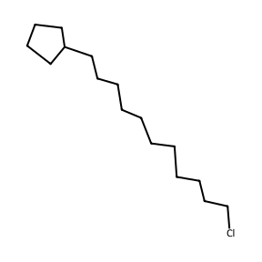 ClCCCCCCCCCCCC1CCCC1